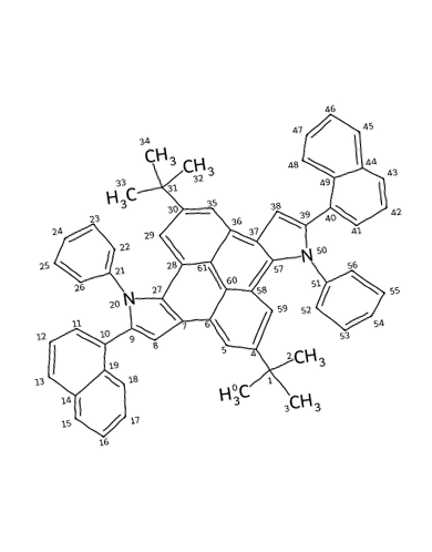 CC(C)(C)c1cc2c3cc(-c4cccc5ccccc45)n(-c4ccccc4)c3c3cc(C(C)(C)C)cc4c5cc(-c6cccc7ccccc67)n(-c6ccccc6)c5c(c1)c2c43